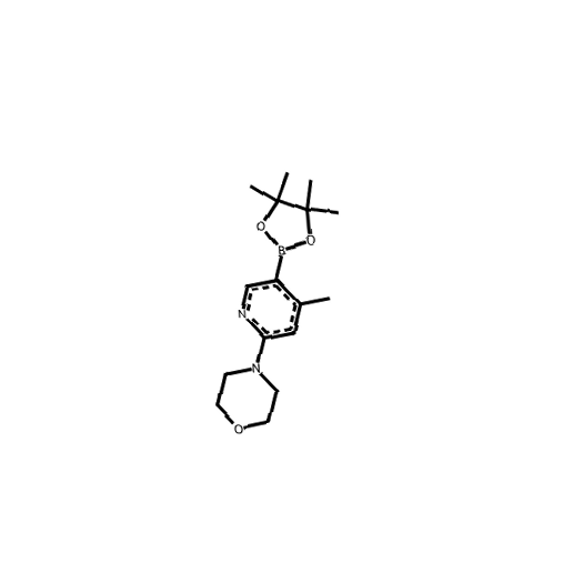 Cc1cc(N2CCOCC2)ncc1B1OC(C)(C)C(C)(C)O1